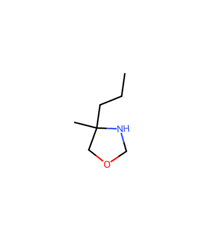 CCCC1(C)COCN1